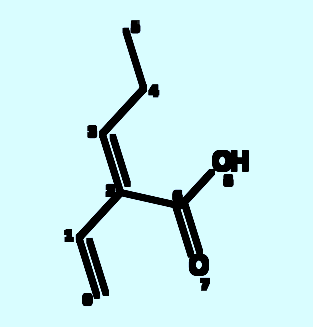 C=CC(=CCC)C(=O)O